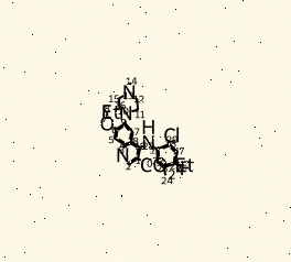 CCOC(=O)c1cnc2cc(OCC)c(N3CCN(C)CC3)cc2c1Nc1cc(C)c(F)cc1Cl